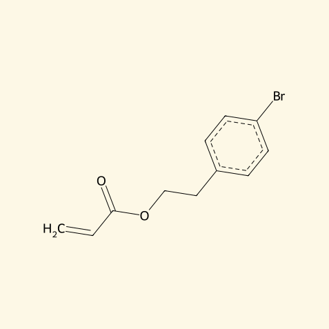 C=CC(=O)OCCc1ccc(Br)cc1